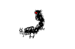 CC(C)(C)OC(=O)NC1CCC(NC(=O)Oc2ccc(C3CCC[C@]4(C3)OOC3(O4)C4CC5CC(C4)CC3C5)cc2)CC1